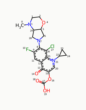 CN1CCOC2CN(c3c(F)cc4c(=O)c(OC(=O)O)cn(C5CC5)c4c3Cl)CC21